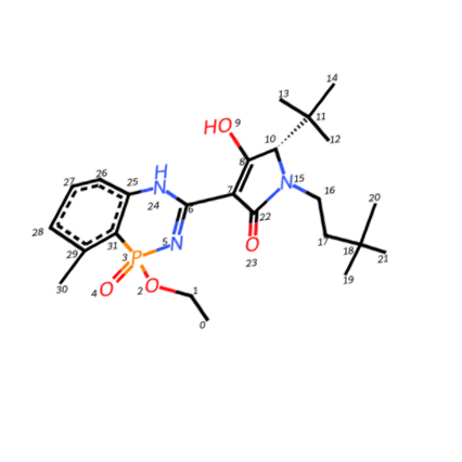 CCOP1(=O)N=C(C2=C(O)[C@H](C(C)(C)C)N(CCC(C)(C)C)C2=O)Nc2cccc(C)c21